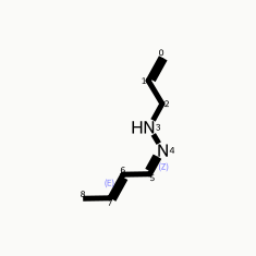 C=CCN/N=C\C=C\C